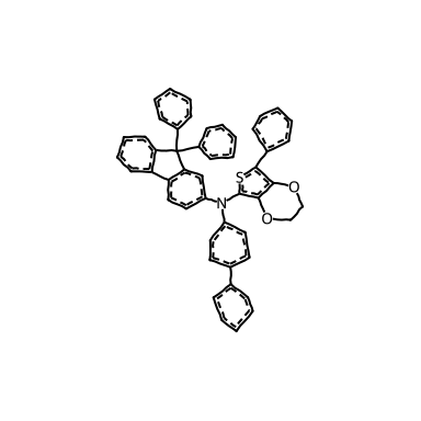 c1ccc(-c2ccc(N(c3ccc4c(c3)C(c3ccccc3)(c3ccccc3)c3ccccc3-4)c3sc(-c4ccccc4)c4c3OCCO4)cc2)cc1